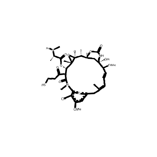 COc1cc2cc(c1Cl)N(C)C(=O)C(C(=O)CCS)[C@H](OC(=O)[C@H](C)N(C)C(C)=O)[C@]1(C)O[C@H]1[C@H](C)[C@@H]1C[C@@](O)(NC(=O)O1)C(OC)/C=C/C=C(\C)C2